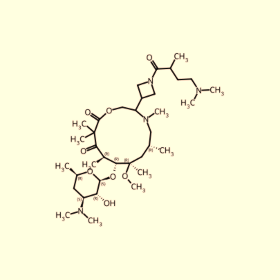 CO[C@]1(C)C[C@@H](C)CN(C)C(C2CN(C(=O)C(C)CCN(C)C)C2)COC(=O)C(C)(C)C(=O)[C@H](C)[C@H]1O[C@@H]1O[C@H](C)C[C@H](N(C)C)[C@H]1O